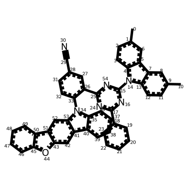 Cc1ccc2c(c1)c1cc(C)ccc1n2-c1nc(-c2ccccc2)nc(-c2cc(C#N)ccc2-n2c3ccccc3c3cc4oc5ccccc5c4cc32)n1